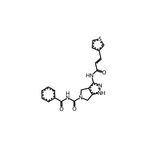 O=C(C=Cc1ccsc1)Nc1n[nH]c2c1CN(C(=O)NC(=O)c1ccccc1)C2